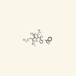 CC[C@H](N)C(=O)N[C@H](C(=O)N1CCC[C@H]1Cc1coc2ccccc12)C(C)C